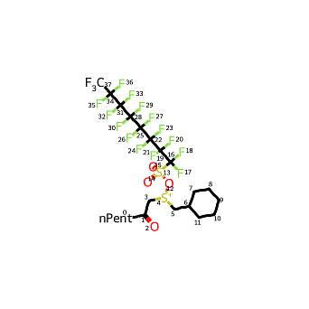 CCCCCC(=O)C[S+](CC1CCCCC1)OS(=O)(=O)C(F)(F)C(F)(F)C(F)(F)C(F)(F)C(F)(F)C(F)(F)C(F)(F)C(F)(F)F